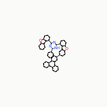 c1ccc(C2N=C(c3cccc4oc5ccccc5c34)N=C(c3cccc4oc5ccc(-c6ccc7c8ccccc8c8ccccc8c7c6)cc5c34)N2)cc1